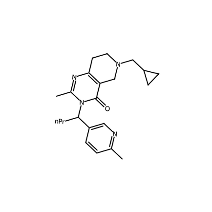 CCCC(c1ccc(C)nc1)n1c(C)nc2c(c1=O)CN(CC1CC1)CC2